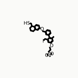 Cc1cc(OCCCS(C)(=O)=O)cc(CI)c1-c1cccc(COc2ccc3c(c2)CCCC3CS)c1